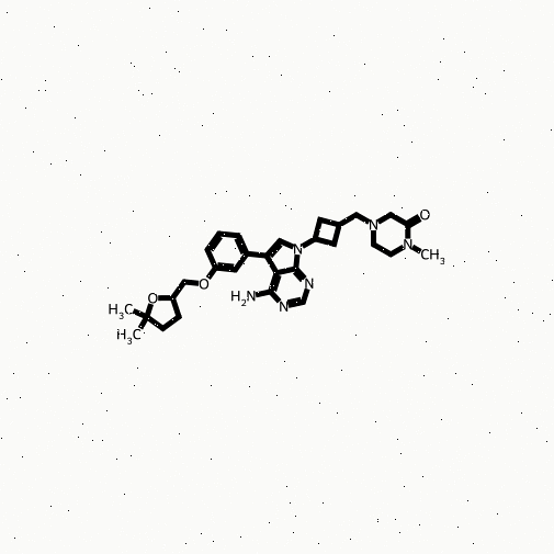 CN1CCN(CC2CC(n3cc(-c4cccc(OCC5CCC(C)(C)O5)c4)c4c(N)ncnc43)C2)CC1=O